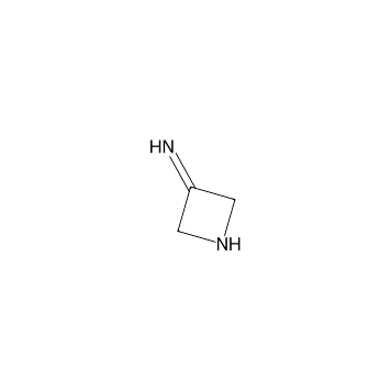 N=C1CNC1